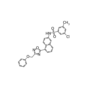 Cc1cc(Cl)cc(S(=O)(=O)Nc2ccc3c(-c4nc(COc5ccccc5)no4)cccc3c2)c1